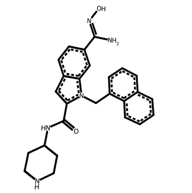 N/C(=N\O)c1ccc2cc(C(=O)NC3CCNCC3)n(Cc3cccc4ccccc34)c2c1